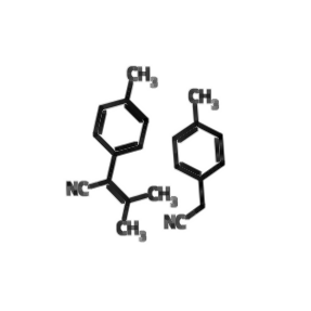 CC(C)=C(C#N)c1ccc(C)cc1.Cc1ccc(CC#N)cc1